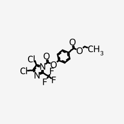 CCOC(=O)c1ccc(OC(=O)n2c(C(F)(F)F)nc(Cl)c2Cl)cc1